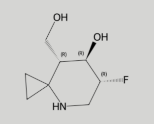 OC[C@@H]1[C@@H](O)[C@H](F)CNC12CC2